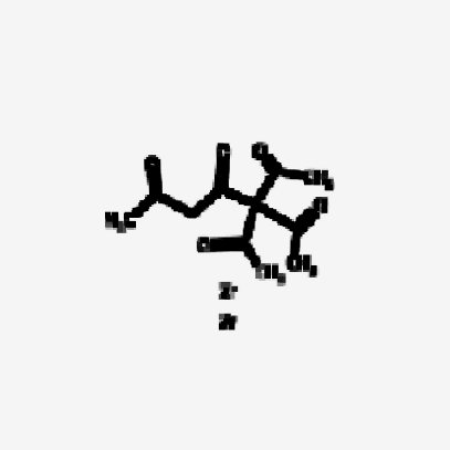 CC(=O)CC(=O)C(C(C)=O)(C(C)=O)C(C)=O.[Zr].[Zr]